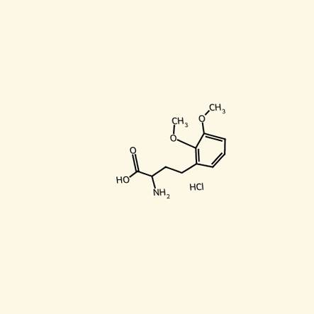 COc1cccc(CCC(N)C(=O)O)c1OC.Cl